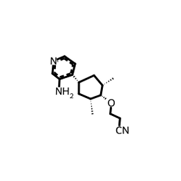 C[C@@H]1C[C@H](c2ccncc2N)C[C@H](C)[C@@H]1OCCC#N